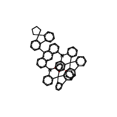 c1ccc2c(c1)-c1c(-c3c4cccc(N5c6ccccc6C6(c7ccccc7-c7ccccc76)c6ccccc65)c4cc4c(N5c6ccccc6C6(c7ccccc7-c7ccccc76)c6ccccc65)cccc34)cccc1C21CCCC1